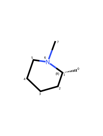 C[C@@H]1CCCCN1C